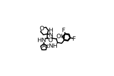 CC(=O)NC(Cc1cc(F)cc(F)c1)C(O)CNC1(C(=O)NC2CCCC2)CCOCC1